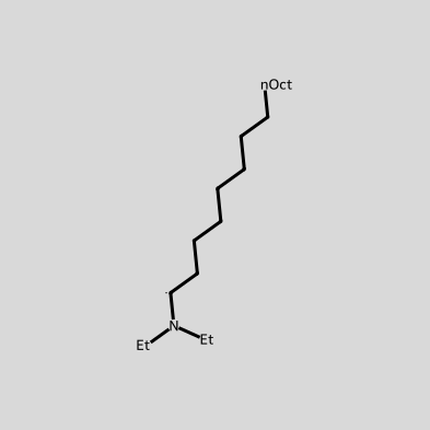 CCCCCCCCCCCCCCC[CH]N(CC)CC